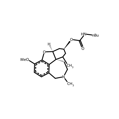 CCCCNC(=O)O[C@H]1CC(C)[C@@]23CCN(C)Cc4ccc(OC)c(c42)O[C@H]3C1